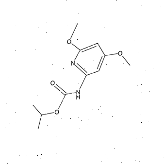 COc1cc(NC(=O)OC(C)C)nc(OC)c1